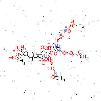 CCS(=O)(=O)CCOC(=O)NCCOCCOCCNC(=O)C(CC(C)C(=O)NCCOCCOCCNC(C)=O)CC(CC(CC(CC(C)C(=O)O)c1ccc2c(c1)CCc1ccc(C(CC(C)C(=O)O)CC(C)C(=O)O)cc1CC2)C(=O)O)C(=O)NCCOCCOCCNC(C)=O